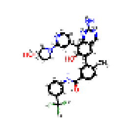 Cc1ccc(C(=O)Nc2cccc(C(F)(F)F)c2)cc1-c1cc2cnc(N)nc2c(-c2ccnc(N3CC[C@@H](O)C3)c2)c1O